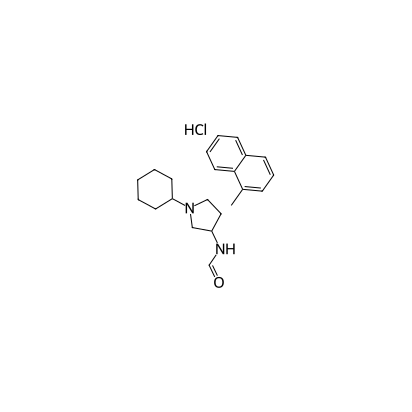 Cc1cccc2ccccc12.Cl.O=CNC1CCN(C2CCCCC2)C1